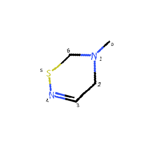 CN1CC=NSC1